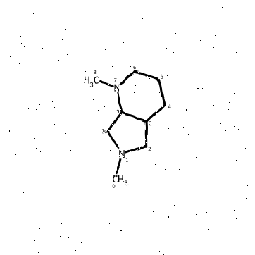 CN1CC2CCCN(C)C2C1